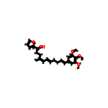 COc1cc(C=CCCC=C/C=C(/C)CCC(O)c2ccco2)cc(OC)c1OC